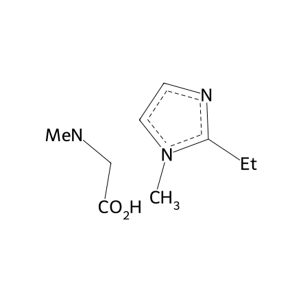 CCc1nccn1C.CNCC(=O)O